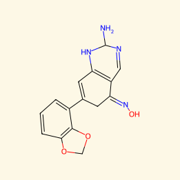 NC1N=CC2=C(C=C(c3cccc4c3OCO4)CC2=NO)N1